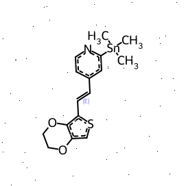 [CH3][Sn]([CH3])([CH3])[c]1cc(/C=C/c2scc3c2OCCO3)ccn1